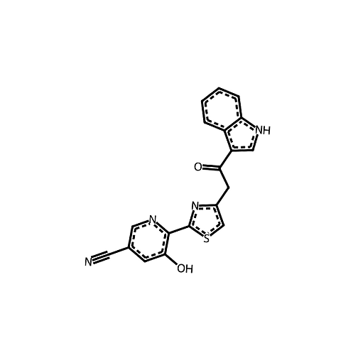 N#Cc1cnc(-c2nc(CC(=O)c3c[nH]c4ccccc34)cs2)c(O)c1